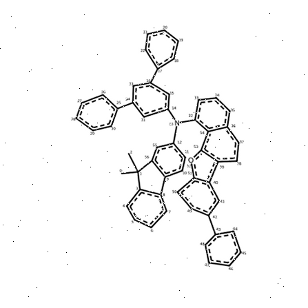 CC1(C)c2ccccc2-c2ccc(N(c3cc(-c4ccccc4)cc(-c4ccccc4)c3)c3cccc4ccc5c6cc(-c7ccccc7)ccc6oc5c34)cc21